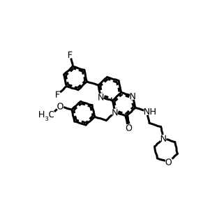 COc1ccc(Cn2c(=O)c(NCCN3CCOCC3)nc3ccc(-c4cc(F)cc(F)c4)nc32)cc1